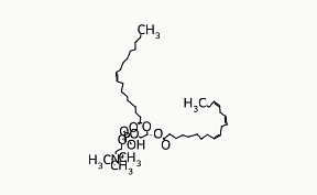 CC/C=C\C/C=C\C/C=C\CCCCCCCC(=O)OC[C@H](COP(=O)(O)OCC[N+](C)(C)C)OC(=O)CCCCCCC/C=C\CCCCCCCC